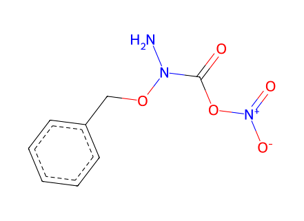 NN(OCc1ccccc1)C(=O)O[N+](=O)[O-]